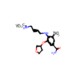 NC(=O)c1cc(OC2CCOC2)c(NC/C=C/CNC(=O)O)c([N+](=O)[O-])c1